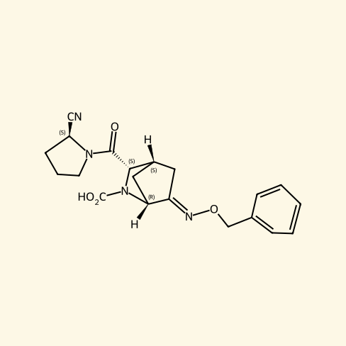 N#C[C@@H]1CCCN1C(=O)[C@@H]1[C@@H]2CC(=NOCc3ccccc3)[C@@H](C2)N1C(=O)O